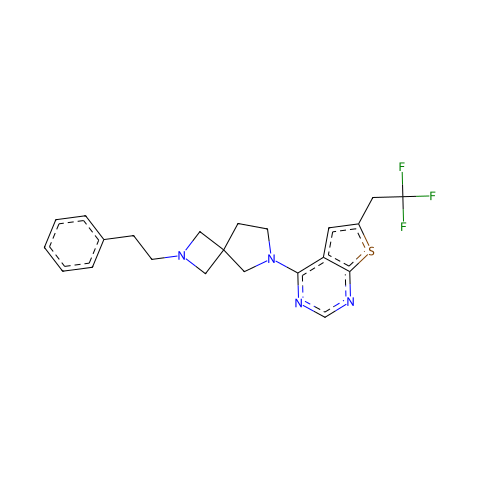 FC(F)(F)Cc1cc2c(N3CCC4(CN(CCc5ccccc5)C4)C3)ncnc2s1